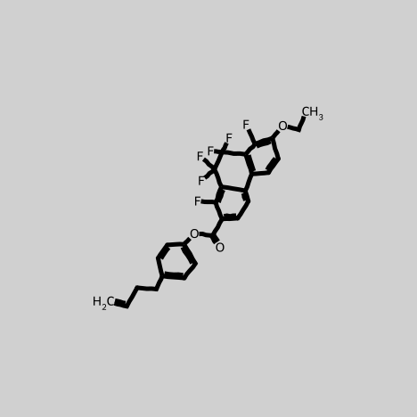 C=CCCc1ccc(OC(=O)c2ccc3c(c2F)C(F)(F)C(F)(F)c2c-3ccc(OCC)c2F)cc1